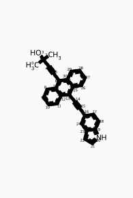 CC(C)(O)C#Cc1c2ccccc2c(C#Cc2ccc3[nH]ccc3c2)c2ccccc12